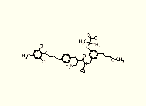 COCCCc1cc(CN(C(=O)C(CN)Cc2ccc(OCCOc3c(Cl)cc(C)cc3Cl)cc2)C2CC2)cc(OC(C)(C)C(=O)O)c1